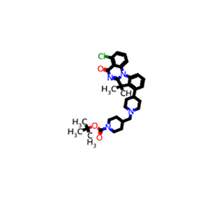 CC(C)(C)OC(=O)N1CCC(CN2CCC(c3cccc4c3C(C)(C)c3nc(=O)c5c(Cl)cccc5n3-4)CC2)CC1